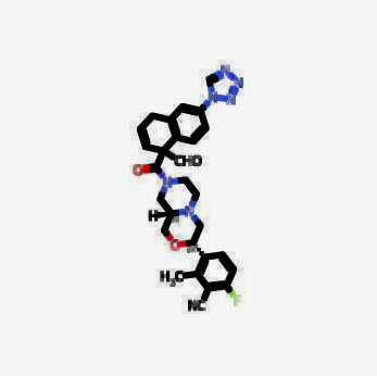 Cc1c([C@H]2CN3CCN(C(=O)C4(C=O)C=CCc5cc(-n6cnnn6)ccc54)C[C@H]3CO2)ccc(F)c1C#N